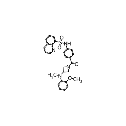 COc1ccccc1N(C)C1CN(C(=O)c2ccc(NS(=O)(=O)c3cccc4cccnc34)cc2)C1